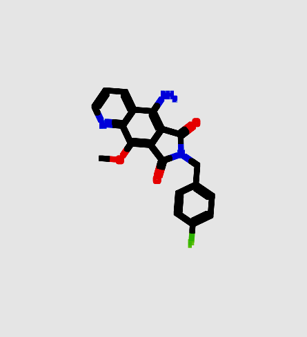 COc1c2c(c(N)c3cccnc13)C(=O)N(Cc1ccc(F)cc1)C2=O